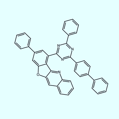 c1ccc(-c2ccc(-c3nc(-c4ccccc4)nc(-c4cc(-c5ccccc5)cc5oc6cc7ccccc7nc6c45)n3)cc2)cc1